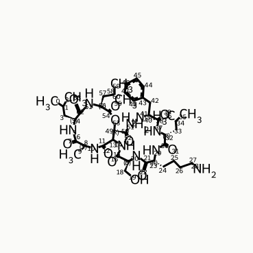 CC(C)C[C@@H]1NC(=O)[C@H](C)NC(=O)C(NC(=O)[C@H](CO)NC(=O)[C@@H](CCCCN)NC(=O)[C@@H](CC(C)C)NC(=O)[C@@H](N)Cc2ccccc2)[C@H](C(N)=O)OC(=O)[C@H](CC(C)C)NC1=O